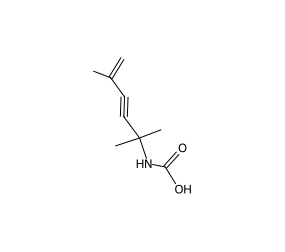 C=C(C)C#CC(C)(C)NC(=O)O